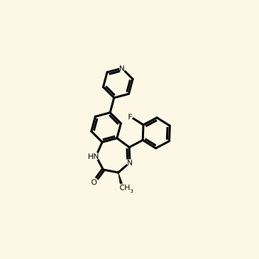 C[C@@H]1N=C(c2ccccc2F)c2cc(-c3ccncc3)ccc2NC1=O